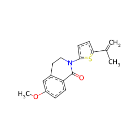 C=C(C)c1ccc(N2CCc3cc(OC)ccc3C2=O)s1